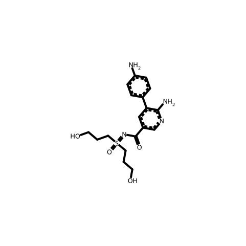 Nc1ccc(-c2cc(C(=O)N=S(=O)(CCCO)CCCO)cnc2N)cc1